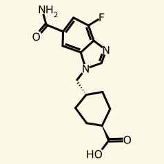 NC(=O)c1cc(F)c2ncn(C[C@H]3CC[C@H](C(=O)O)CC3)c2c1